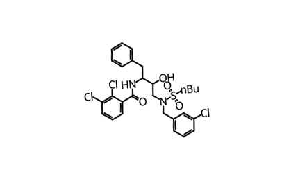 CCCCS(=O)(=O)N(Cc1cccc(Cl)c1)CC(O)C(Cc1ccccc1)NC(=O)c1cccc(Cl)c1Cl